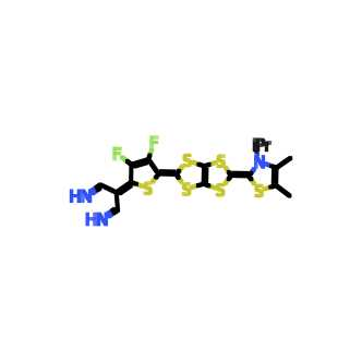 CC1=C(C)N(C(C)C)C(=C2SC3=C(S2)SC(=c2sc(=C(C=N)C=N)c(F)c2F)S3)S1